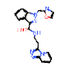 OC(NCCc1nnc2ccccn12)c1nn(Cc2ncco2)c2ccccc12